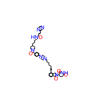 O=C(/C=C/c1cnccn1)NCCCCC1CCN(C(=O)c2ccc(N3CCN(CCCCCC#Cc4cccc5c4CN(C4CCC(=O)NC4=O)C5=O)CC3)cc2)CC1